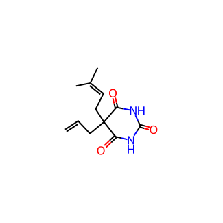 C=CCC1(CC=C(C)C)C(=O)NC(=O)NC1=O